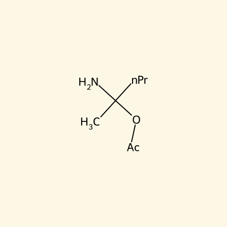 CCCC(C)(N)OC(C)=O